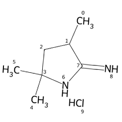 CC1CC(C)(C)NC1=N.Cl